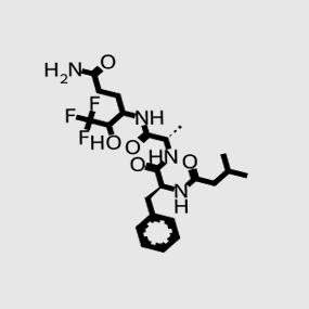 CC(C)CC(=O)N[C@@H](Cc1ccccc1)C(=O)N[C@@H](C)C(=O)NC(CCC(N)=O)C(O)C(F)(F)F